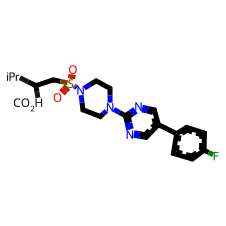 CC(C)C(CS(=O)(=O)N1CCN(c2ncc(-c3ccc(F)cc3)cn2)CC1)C(=O)O